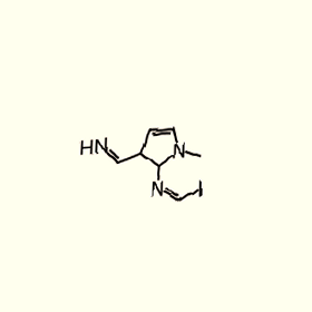 CN1C=CC(C=N)C1/N=C\I